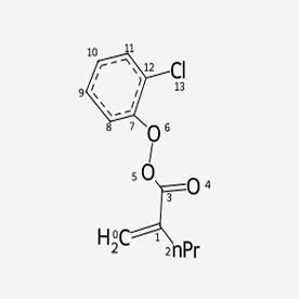 C=C(CCC)C(=O)OOc1ccccc1Cl